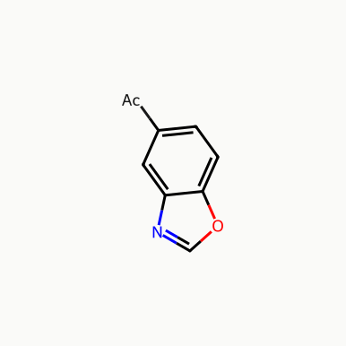 CC(=O)c1ccc2ocnc2c1